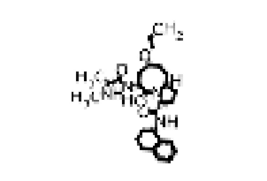 C=CCO[C@@H]1CC[C@H]2CC[C@@H](C(=O)N[C@@H]3CCCc4ccccc43)N2C(=O)[C@@H](NC(=O)[C@H](C)NC)C1